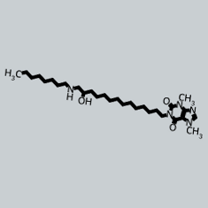 CCCCCCCCNCC(O)CCCCCCCCCCCCn1c(=O)c2c(ncn2C)n(C)c1=O